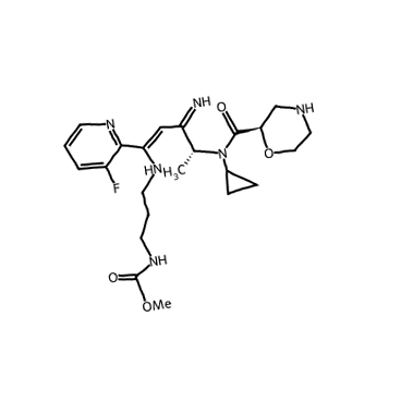 COC(=O)NCCCN/C(=C\C(=N)[C@@H](C)N(C(=O)[C@H]1CNCCO1)C1CC1)c1ncccc1F